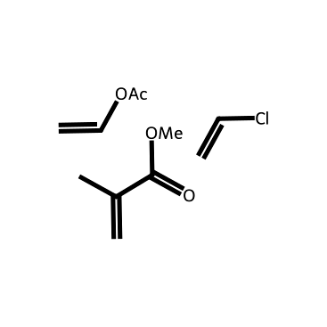 C=C(C)C(=O)OC.C=CCl.C=COC(C)=O